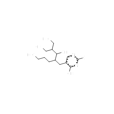 CCCCC(Cc1cnc(Cl)nc1C)C(C)C(CC)CC